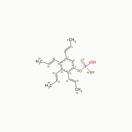 CC=Cc1cc(OP(O)(=S)S)c(C=CC)c(C=CC)c1C=CC